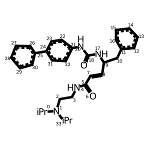 CC(C)N(CCNC(=O)/C=C/C(Cc1ccccc1)NC(=O)Nc1ccc(-c2ccccc2)cc1)C(C)C